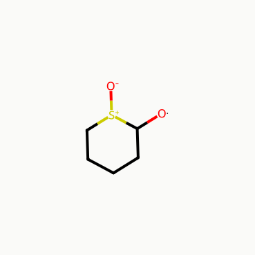 [O]C1CCCC[S+]1[O-]